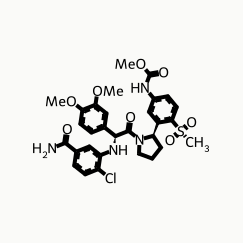 COC(=O)Nc1ccc(S(C)(=O)=O)c([C@H]2CCCN2C(=O)[C@H](Nc2cc(C(N)=O)ccc2Cl)c2ccc(OC)c(OC)c2)c1